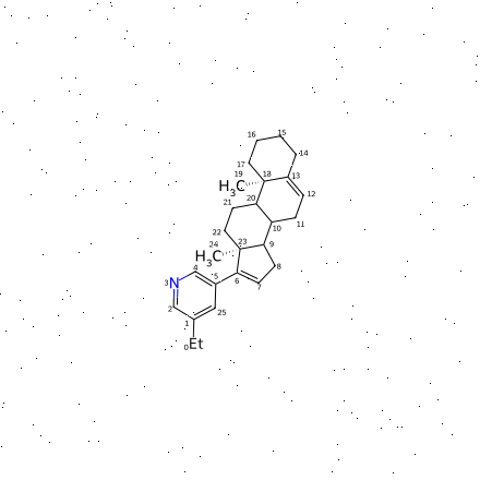 CCc1cncc(C2=CCC3C4CC=C5CCCC[C@]5(C)C4CC[C@]23C)c1